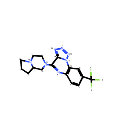 FC(F)(F)c1ccc2nc(N3CCN4CCCC4C3)c3nnnn3c2c1